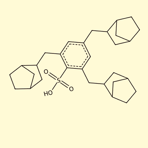 O=S(=O)(O)c1c(CC2CC3CCC2C3)cc(CC2CC3CCC2C3)cc1CC1CC2CCC1C2